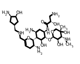 CN[C@@H]1[C@@H](O)[C@@H](O[C@H]2[C@H](NC(=O)[C@@H](O)CN)C[C@H](N)C([C@H]3OC(CNC[C@H]4C[C@@H](N)[C@@H](O)C4)=CC[C@H]3N)[C@@H]2O)OC[C@]1(C)O